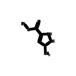 CCOC(=O)C1=CN(C)NN1